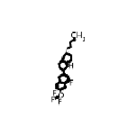 CCCCC[C@@H]1CC[C@@H]2CC(c3cc(F)c4cc(OC(F)(F)F)ccc4c3)CCC2C1